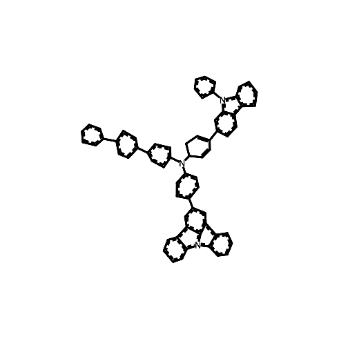 C1=CC(N(c2ccc(-c3ccc(-c4ccccc4)cc3)cc2)c2ccc(-c3cc4c5ccccc5n5c6ccccc6c(c3)c45)cc2)CC=C1c1ccc2c3ccccc3n(-c3ccccc3)c2c1